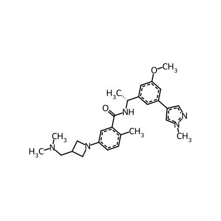 COc1cc(-c2cnn(C)c2)cc([C@@H](C)NC(=O)c2cc(N3CC(CN(C)C)C3)ccc2C)c1